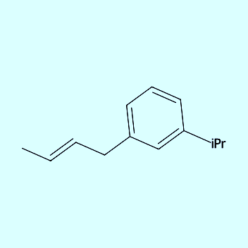 CC=CCc1cccc(C(C)C)c1